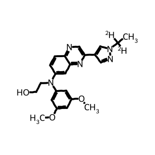 [2H]C([2H])(C)n1cc(-c2cnc3ccc(N(CCO)c4cc(OC)cc(OC)c4)cc3n2)cn1